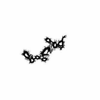 CCC1CC2CC(C)CC(c3ccc4c(c3)c3ccccc3n4-c3ccc(-n4c5ccccc5c5cc(-c6cccc7c6oc6ccccc67)ccc54)cn3)(C1)C2